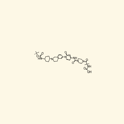 CC(C)(C)OC(=O)NC1CCC(N2CCc3cc(-n4ccc(NC(=O)N5CCN(C(=O)C(C)(C)NC(=O)O)CC5)nc4=O)ccc3C2)CC1